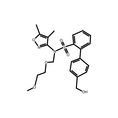 COCCOCN(c1noc(C)c1C)S(=O)(=O)c1ccccc1-c1ccc(CO)cc1